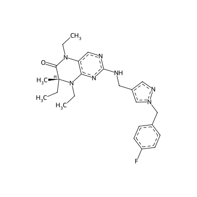 CCN1C(=O)[C@@](C)(CC)N(CC)c2nc(NCc3cnn(Cc4ccc(F)cc4)c3)ncc21